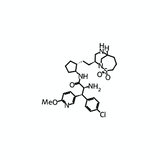 COc1ccc([C@H](c2ccc(Cl)cc2)[C@H](N)C(=O)N[C@H]2CCC[C@@H]2CC[C@H]2CN[C@@H]3CCCS(=O)(=O)N2C3)cn1